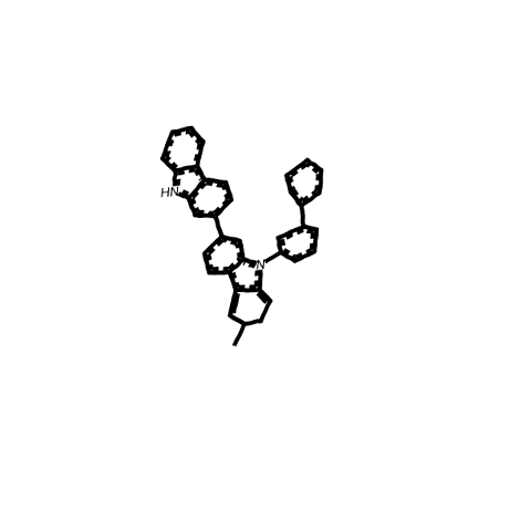 CC1C=c2c(n(-c3cccc(-c4ccccc4)c3)c3cc(-c4ccc5c(c4)[nH]c4ccccc45)ccc23)=CC1